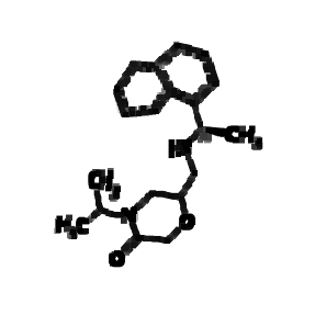 CC(C)N1CC(CN[C@H](C)c2cccc3ccccc23)OCC1=O